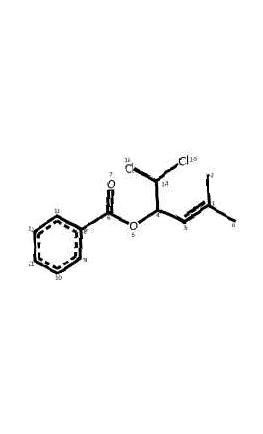 CC(C)=CC(OC(=O)c1ccccc1)C(Cl)Cl